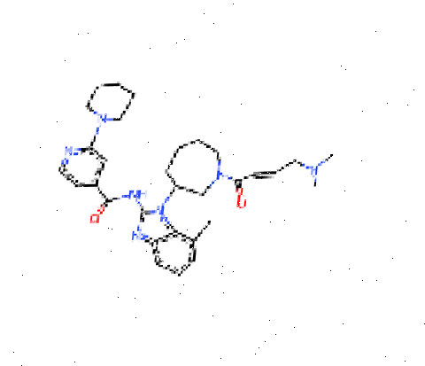 Cc1cccc2nc(NC(=O)c3ccnc(N4CCCCC4)c3)n(C3CCCCN(C(=O)C=CCN(C)C)C3)c12